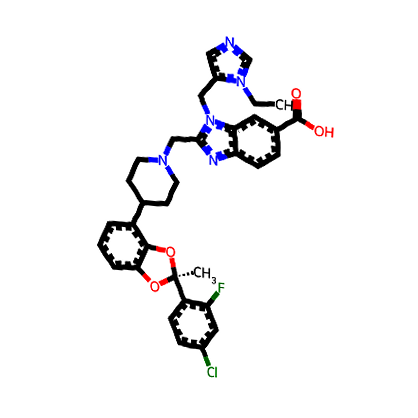 CCn1cncc1Cn1c(CN2CCC(c3cccc4c3O[C@@](C)(c3ccc(Cl)cc3F)O4)CC2)nc2ccc(C(=O)O)cc21